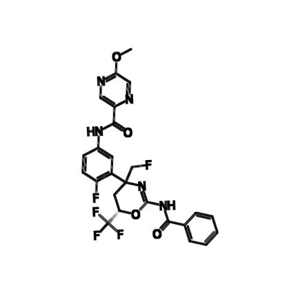 COc1cnc(C(=O)Nc2ccc(F)c(C3(CF)C[C@@H](C(F)(F)F)OC(NC(=O)c4ccccc4)=N3)c2)cn1